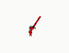 CCCCCCCCCCCCCCCCCCOC[C@H](COc1ccc(C#N)cn1)OP(=O)(O)O